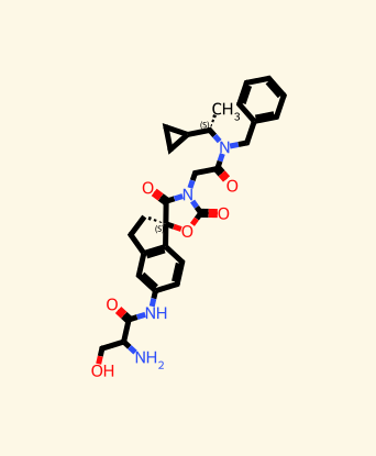 C[C@@H](C1CC1)N(Cc1ccccc1)C(=O)CN1C(=O)O[C@]2(CCc3cc(NC(=O)C(N)CO)ccc32)C1=O